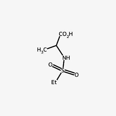 CCS(=O)(=O)NC(C)C(=O)O